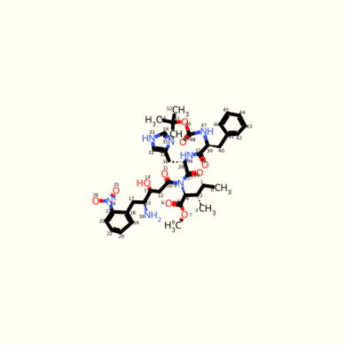 CC[C@H](C)[C@@H](C(=O)OC)N(C(=O)CC(O)[C@@H](N)Cc1ccccc1[N+](=O)[O-])C(=O)[C@H](Cc1c[nH]cn1)NC(=O)[C@H](Cc1ccccc1)NC(=O)OC(C)(C)C